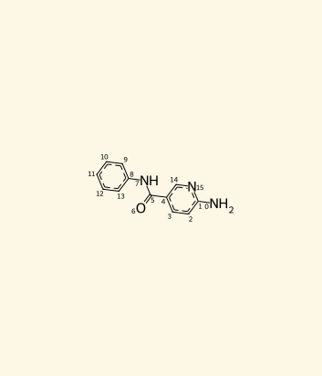 Nc1ccc(C(=O)Nc2ccccc2)cn1